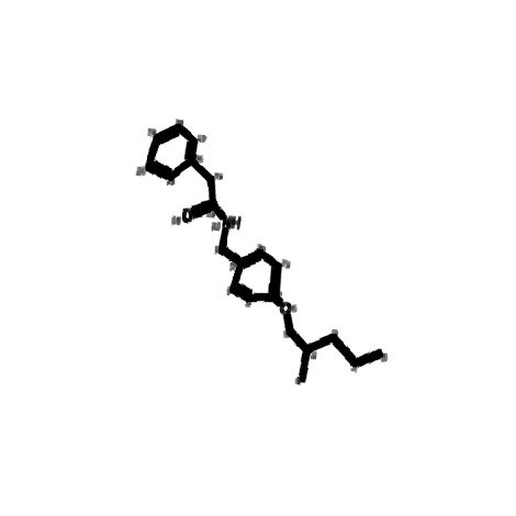 CCCC(C)COc1ccc(CNC(=O)Cc2ccccc2)cc1